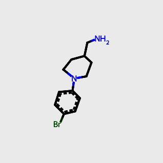 NCC1CCN(c2ccc(Br)cc2)CC1